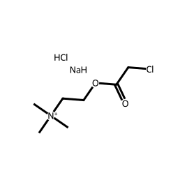 C[N+](C)(C)CCOC(=O)CCl.Cl.[NaH]